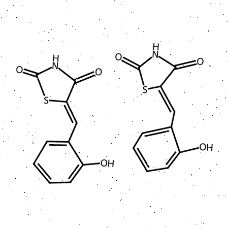 O=C1NC(=O)/C(=C/c2ccccc2O)S1.O=C1NC(=O)/C(=C/c2ccccc2O)S1